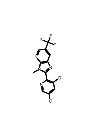 Cn1c(-c2ncc(Cl)cc2Cl)nc2cc(C(F)(F)F)cnc21